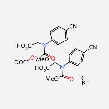 COC(=O)N(CC(=O)O)c1ccc(C#N)cc1.COC(=O)N(CC(=O)O)c1ccc(C#N)cc1.O=C([O-])[O-].[K+].[K+]